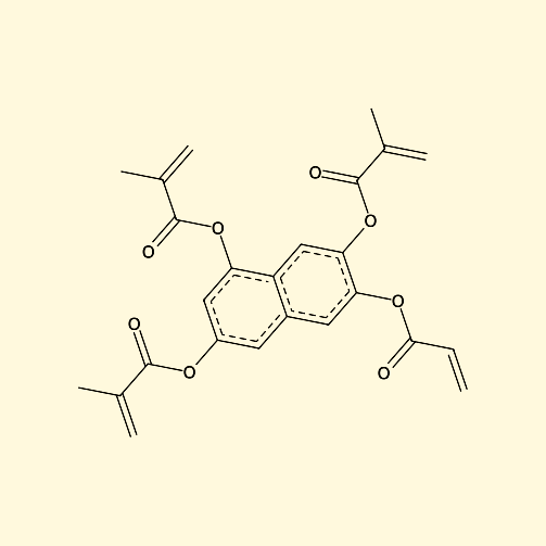 C=CC(=O)Oc1cc2cc(OC(=O)C(=C)C)cc(OC(=O)C(=C)C)c2cc1OC(=O)C(=C)C